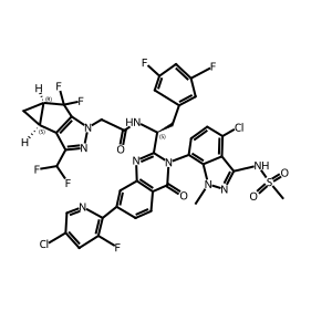 Cn1nc(NS(C)(=O)=O)c2c(Cl)ccc(-n3c([C@H](Cc4cc(F)cc(F)c4)NC(=O)Cn4nc(C(F)F)c5c4C(F)(F)[C@@H]4C[C@H]54)nc4cc(-c5ncc(Cl)cc5F)ccc4c3=O)c21